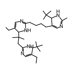 CCC1=CN=C(CC(C)(C)C2NC(CCCCC3=CN=C(C)NC3C(C)(C)C)=NC=C2CC)NC1C(C)(C)C